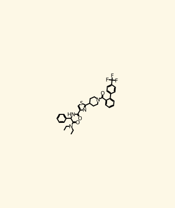 CCN(CC)C(=O)C(NC(=O)c1csc(C2CCN(C(=O)c3ccccc3-c3ccc(C(F)(F)F)cc3)CC2)n1)c1ccccc1